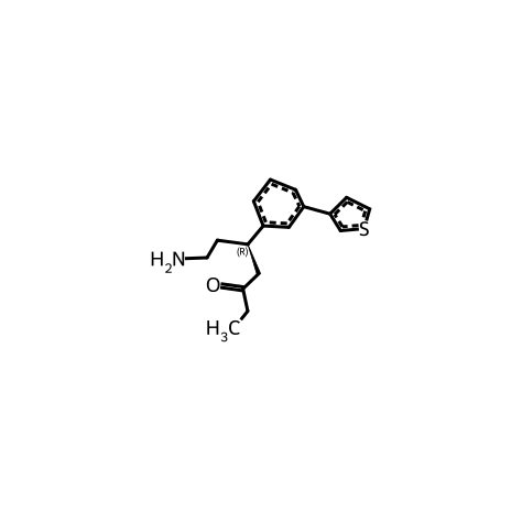 CCC(=O)C[C@@H](CCN)c1cccc(-c2ccsc2)c1